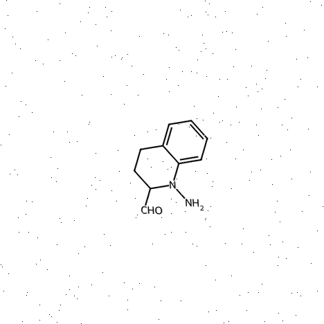 NN1c2ccccc2CCC1C=O